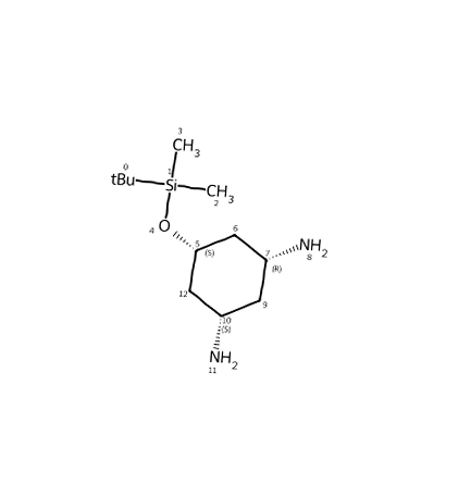 CC(C)(C)[Si](C)(C)O[C@@H]1C[C@H](N)C[C@H](N)C1